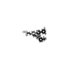 O=C(O)CCN1CCN2c3ncc(-c4cc(F)cc(F)c4)cc3N(S(=O)(=O)c3cccc(C(F)(F)F)c3)C[C@@H]2C1